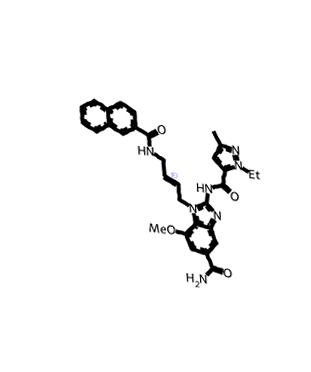 CCn1nc(C)cc1C(=O)Nc1nc2cc(C(N)=O)cc(OC)c2n1C/C=C/CNC(=O)c1ccc2ccccc2c1